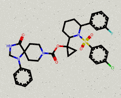 O=C(OC1(C2CCCC(c3cccc(F)c3)N2S(=O)(=O)c2ccc(Cl)cc2)CC1)N1CCC2(CC1)C(=O)NCN2c1ccccc1